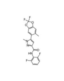 Cc1cc2c(cc1-c1cc(C(=O)Nc3c(F)cccc3F)nn1C)OC(F)(F)O2